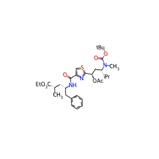 CCOC(=O)[C@@H](C)C[C@@H](Cc1ccccc1)NC(=O)c1csc([C@@H](C[C@@H](C(C)C)N(C)C(=O)OC(C)(C)C)OC(C)=O)n1